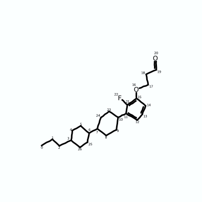 CCCC1CCC(C2CCC(c3cccc(OCCC=O)c3F)CC2)CC1